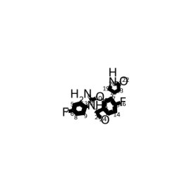 NC(Nc1ccc(F)cc1)Oc1c2c(cc(F)c1[C@@H]1CNC(=O)C1)OCC2